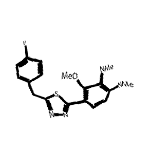 CNc1ccc(-c2nnc(Cc3ccc(F)cc3)s2)c(OC)c1NC